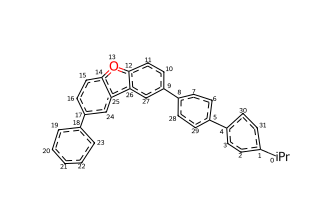 CC(C)c1ccc(-c2ccc(-c3ccc4oc5ccc(-c6ccccc6)cc5c4c3)cc2)cc1